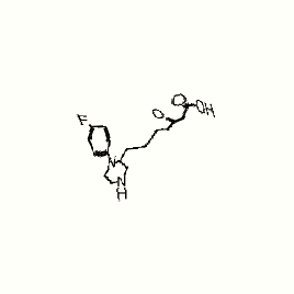 O=C(O)CC(=O)CCCCC1CNCCN1c1ccc(F)cc1